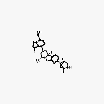 C#Cc1ccc(N2C[C@@H](C)N3Cc4nc(N5C[C@@H]6C[C@H]5CN6)ccc4[C@H]3C2)c2c(F)cnn12